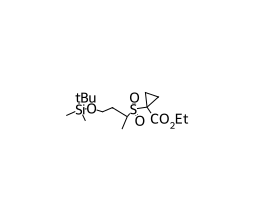 CCOC(=O)C1(S(=O)(=O)C(C)CCO[Si](C)(C)C(C)(C)C)CC1